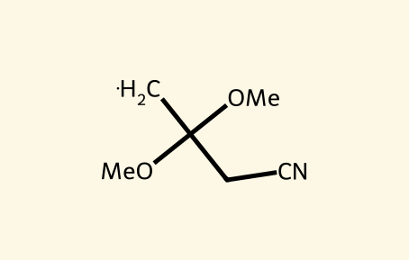 [CH2]C(CC#N)(OC)OC